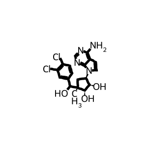 C[C@]1(C(O)c2ccc(Cl)c(Cl)c2)C[C@@H](n2ccc3c(N)ncnc32)[C@H](O)[C@@H]1O